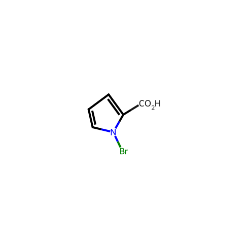 O=C(O)c1cccn1Br